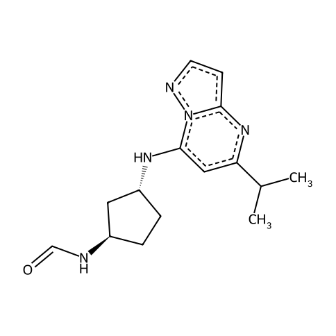 CC(C)c1cc(N[C@@H]2CC[C@@H](NC=O)C2)n2nccc2n1